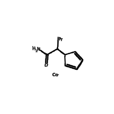 CC(C)C(C(N)=O)C1C=CC=C1.[Co]